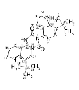 CC(C)(C)c1cnc(-n2c(=O)nc3c4cccnc4c(C(C)(C)C)cn3c2=O)c2cccnc12